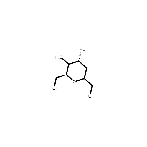 CC1[C@H](O)CC(CO)O[C@H]1CO